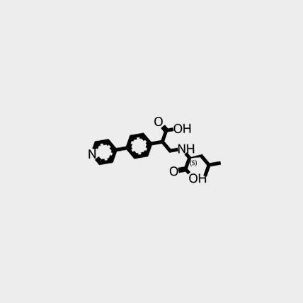 CC(C)C[C@H](NCC(C(=O)O)c1ccc(-c2ccncc2)cc1)C(=O)O